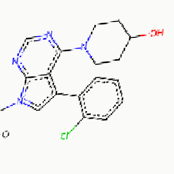 O=CCn1cc(-c2ccccc2Cl)c2c(N3CCC(O)CC3)ncnc21